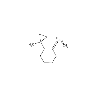 C=C.CC1(C2CCCCC2=O)CC1